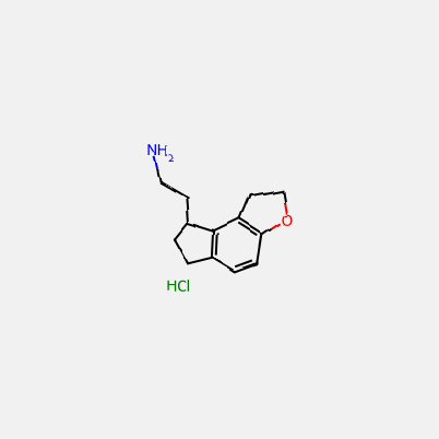 Cl.NCCC1CCc2ccc3c(c21)CCO3